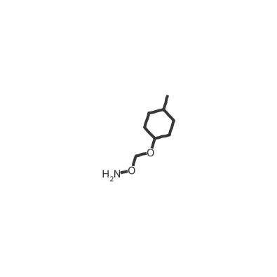 CC1CCC(OCON)CC1